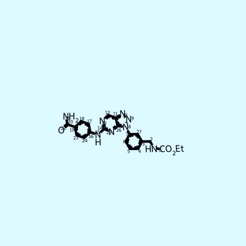 CCOC(=O)NCc1cccc(-n2nnc3cnc(Nc4ccc(C(N)=O)cc4)nc32)c1